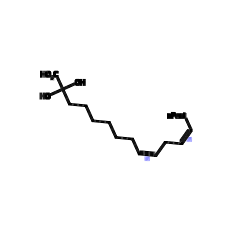 CCCCC/C=C\C/C=C\CCCCCCC(O)(O)C(=O)O